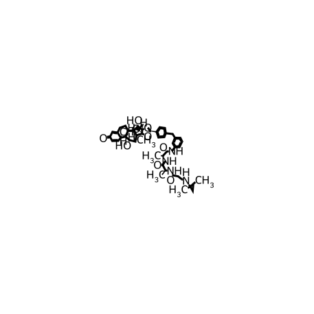 CC1CC1(C)NCCC(=O)N[C@@H](C)C(=O)N[C@@H](C)C(=O)Nc1cccc(Cc2ccc([C@@H]3O[C@@H]4C[C@H]5[C@@H]6CCC7=CC(=O)C=C[C@]7(C)[C@H]6[C@@H](O)C[C@]5(C)[C@]4(C(=O)CO)O3)cc2)c1